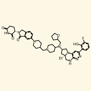 CC[C@@]12CNc3nnc(-c4cccc(F)c4O)cc3N1C[C@H](N(CC1CCCO1)C1CCN(CC3CCN(c4ccc5c(c4)C(=O)N([C@H]4CCC(=O)NC4=O)C5)CC3)CC1)C2